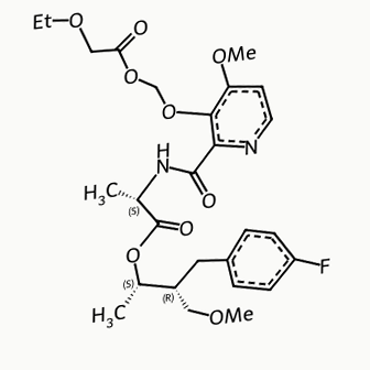 CCOCC(=O)OCOc1c(OC)ccnc1C(=O)N[C@@H](C)C(=O)O[C@@H](C)[C@@H](COC)Cc1ccc(F)cc1